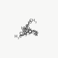 COCCOC(=O)NS(=O)(=O)c1sc(CC(C)C)cc1-c1ccc(Cn2ccnc2)cc1